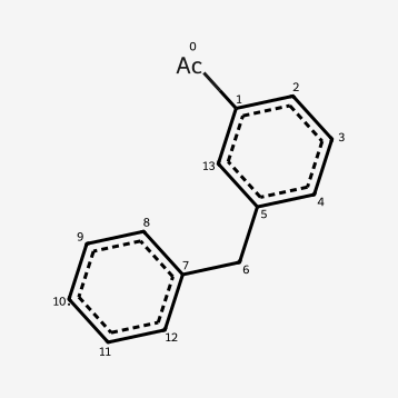 CC(=O)c1cccc(Cc2cc[c]cc2)c1